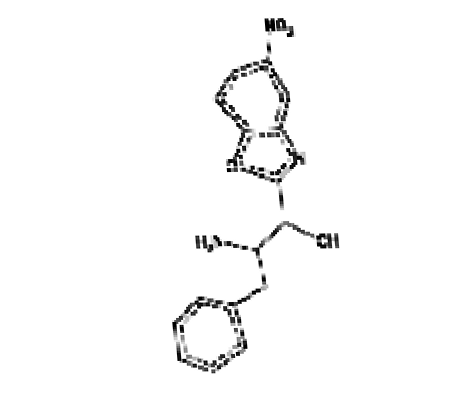 NC(Cc1ccccc1)C(O)c1nc2cc([N+](=O)[O-])ccc2o1